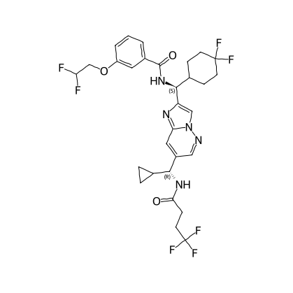 O=C(CCC(F)(F)F)N[C@@H](c1cnn2cc([C@@H](NC(=O)c3cccc(OCC(F)F)c3)C3CCC(F)(F)CC3)nc2c1)C1CC1